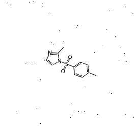 Cc1ccc(S(=O)(=O)n2c[c]nc2C)cc1